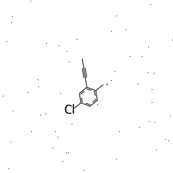 [CH2]c1ccc(Cl)cc1C#CC